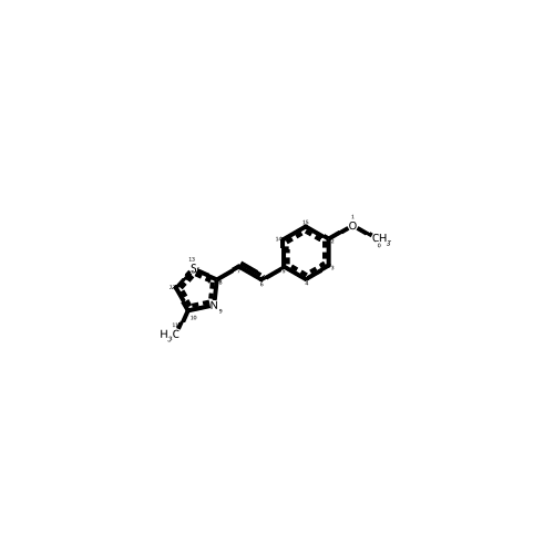 COc1ccc(C=Cc2nc(C)cs2)cc1